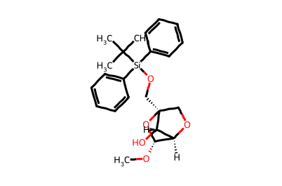 CO[C@@H]1O[C@@]2(CO[Si](c3ccccc3)(c3ccccc3)C(C)(C)C)CO[C@@H]1[C@@H]2O